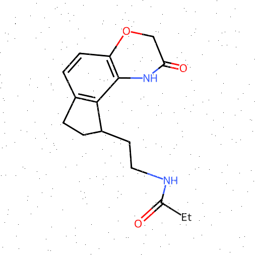 CCC(=O)NCCC1CCc2ccc3c(c21)NC(=O)CO3